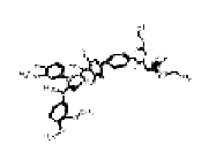 CCOC(=O)CC(CC(=O)OCC)NCc1ccc(-c2cc(F)c(C(S)c3ncc(N(C)c4ccc(OC)c(OC)c4)n3-c3ccc(F)c(OC)c3)c(F)c2)cc1